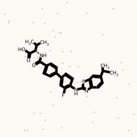 CC(C)c1ccc2nc(Nc3ccc(-c4ccc(C(=O)N[C@H](C(=O)O)C(C)C)cc4)cc3F)sc2c1